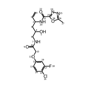 C=CC(CC(O)CNC(=O)COc1ccc(Cl)c(F)c1)NC(=O)c1nnc(C)o1